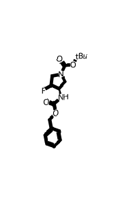 CC(C)(C)OC(=O)N1CC(F)[C@H](NC(=O)OCc2ccccc2)C1